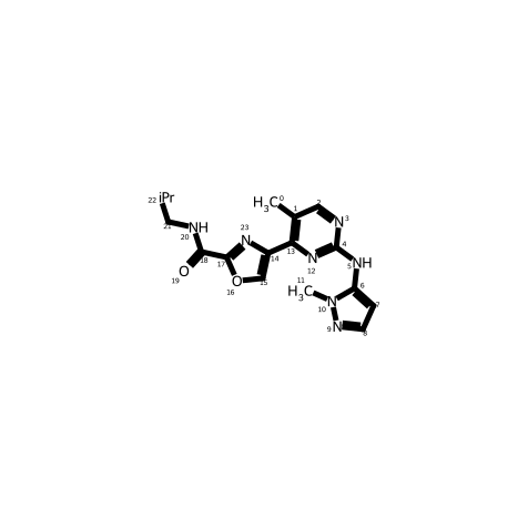 Cc1cnc(Nc2ccnn2C)nc1-c1coc(C(=O)NCC(C)C)n1